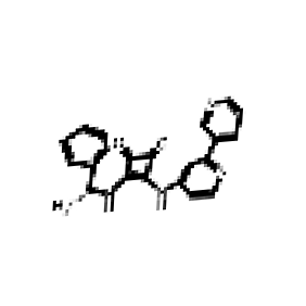 C[C@@H](Nc1c(Nc2ccnc(-c3cccnc3)c2)c(=O)c1=O)c1ccccc1